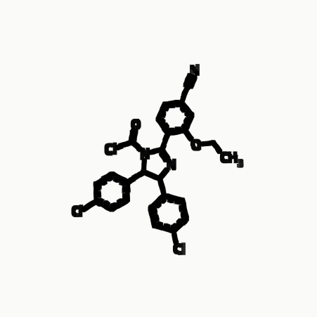 CCOc1cc(C#N)ccc1C1=NC(c2ccc(Cl)cc2)C(c2ccc(Cl)cc2)N1C(=O)Cl